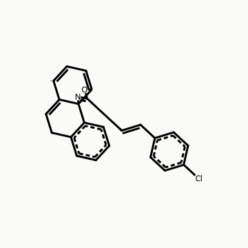 Clc1ccc(C=CC2=NC34C(=CCc5ccccc53)[C]=CC=C4O2)cc1